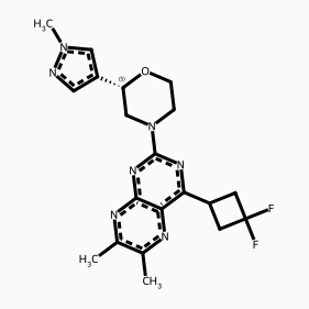 Cc1nc2nc(N3CCO[C@@H](c4cnn(C)c4)C3)nc(C3CC(F)(F)C3)c2nc1C